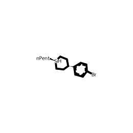 CCCCC[Si@H]1CC[C@H](c2ccc(Br)cc2)CC1